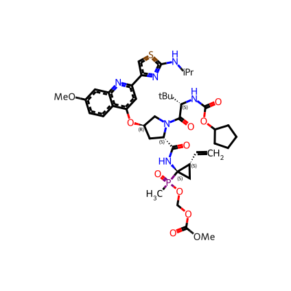 C=C[C@@H]1C[C@]1(NC(=O)[C@@H]1C[C@@H](Oc2cc(-c3csc(NC(C)C)n3)nc3cc(OC)ccc23)CN1C(=O)[C@@H](NC(=O)OC1CCCC1)C(C)(C)C)P(C)(=O)OCOC(=O)OC